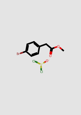 COC(=O)Cc1ccc(Br)cc1.[O-][S+](Cl)Cl